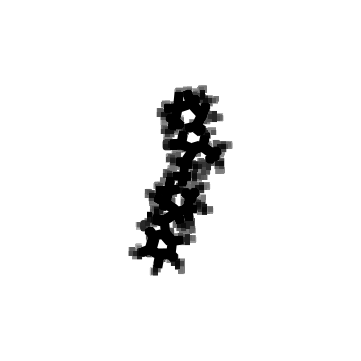 [2H]c1c(F)c([2H])c2onc(C3([2H])C([2H])([2H])C([2H])([2H])N(C([2H])([2H])C([2H])([2H])c4c(C([2H])([2H])[2H])nc5n(c4=O)C([2H])([2H])C(C)(C)C([2H])(C)C5([2H])[2H])C(C)(C)C3([2H])[2H])c2c1[2H]